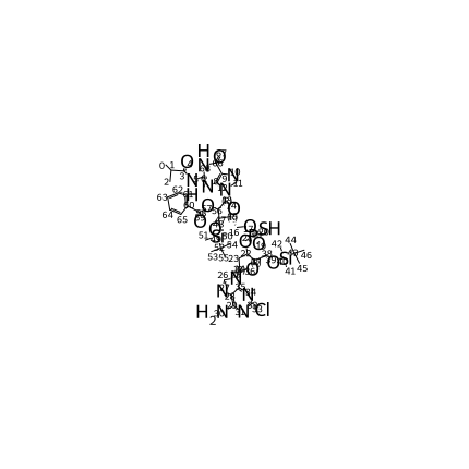 CC(C)C(=O)Nc1nc2c(ncn2[C@@H]2O[C@H](COP(=O)(S)OC3C[C@H](n4cnc5c(N)nc(Cl)nc54)O[C@@H]3CO[Si](C)(C)C(C)(C)C)C(O[Si](C)(C)C(C)(C)C)C2OC(=O)c2ccccc2)c(=O)[nH]1